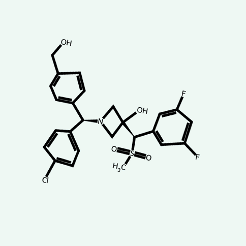 CS(=O)(=O)[C@H](c1cc(F)cc(F)c1)C1(O)CN([C@@H](c2ccc(Cl)cc2)c2ccc(CO)cc2)C1